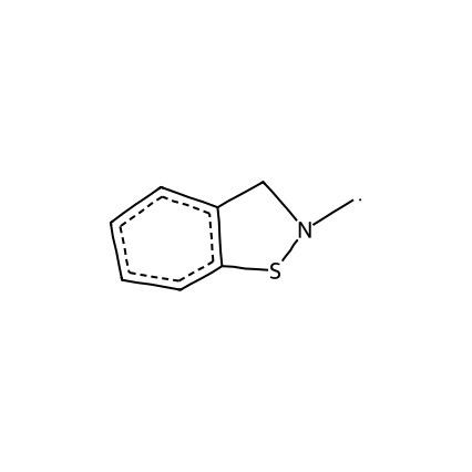 [CH2]N1Cc2ccccc2S1